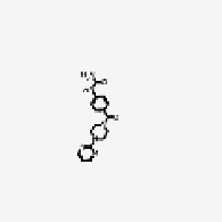 NC(=O)Nc1ccc(C(=O)N2CCN(c3ncccn3)CC2)cc1